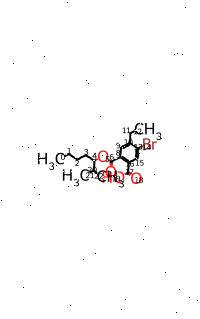 CCCCC(OC(=O)c1cc(CC)c(Br)cc1C(=O)O)C(C)C